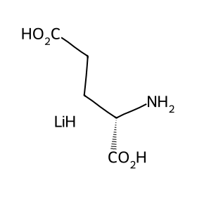 N[C@@H](CCC(=O)O)C(=O)O.[LiH]